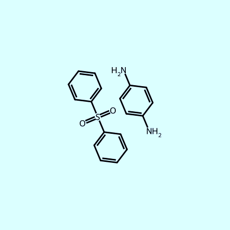 Nc1ccc(N)cc1.O=S(=O)(c1ccccc1)c1ccccc1